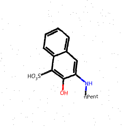 CCCCCNc1cc2ccccc2c(S(=O)(=O)O)c1O